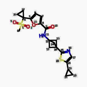 CS(=O)(=O)C1(c2ccc(C(=O)NC34CC(c5ncc(C6CC6)s5)(C3)C4)o2)CC1